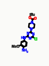 COc1cc(Nc2nc(Cl)nc(N3CCN(C(=O)OC(C)(C)C)CC3)n2)ccc1N